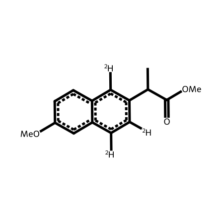 [2H]c1c(C(C)C(=O)OC)c([2H])c2ccc(OC)cc2c1[2H]